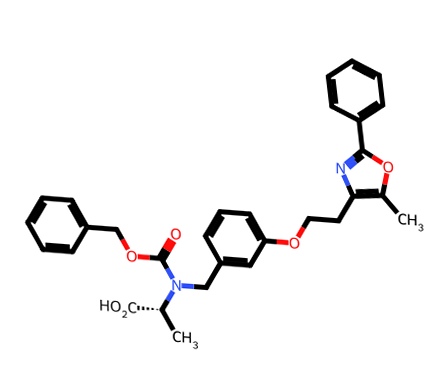 Cc1oc(-c2ccccc2)nc1CCOc1cccc(CN(C(=O)OCc2ccccc2)[C@H](C)C(=O)O)c1